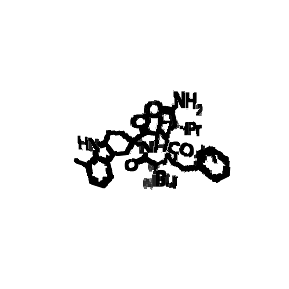 CC[C@H](C)[C@@H](C(=O)N[C@]1(C(=O)N[C@H](C(N)=O)C(C)C)CCc2[nH]c3c(C)cccc3c2C1)N(Cc1ccccc1)C(=O)O